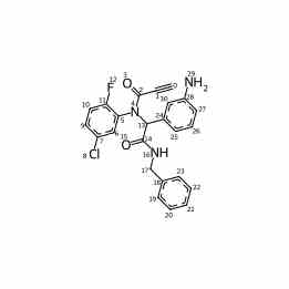 C#CC(=O)N(c1cc(Cl)ccc1F)C(C(=O)NCc1ccccc1)c1cccc(N)c1